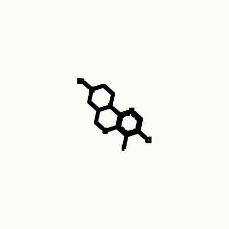 CCN1CCN2c3ncc(Cl)c(F)c3OCC2C1